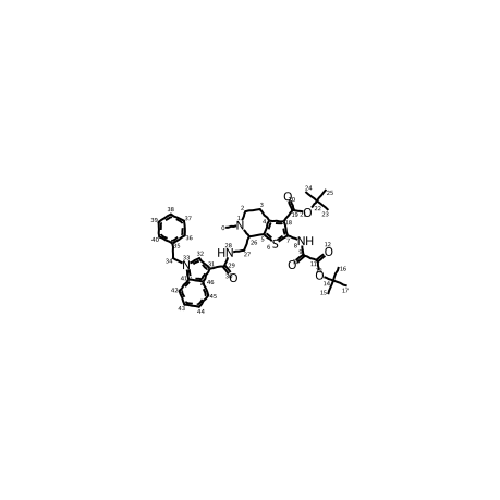 CN1CCc2c(sc(NC(=O)C(=O)OC(C)(C)C)c2C(=O)OC(C)(C)C)C1CNC(=O)c1cn(Cc2ccccc2)c2ccccc12